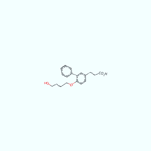 O=C(O)CCc1ccc(OCCCCO)c(-c2ccccc2)c1